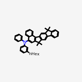 CCCCCCc1cccc(N(c2ccccc2)c2cc3c(c4ccccc24)-c2cc4c(cc2C3(C)C)-c2ccccc2C4(C)C)c1